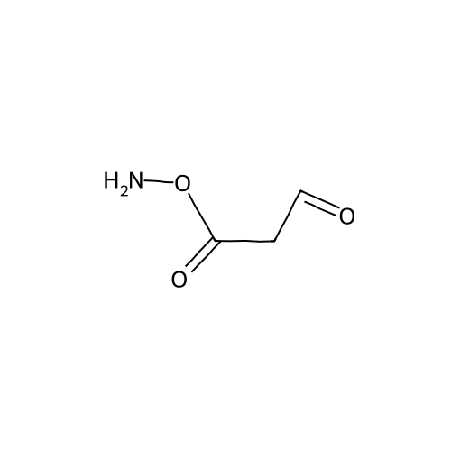 NOC(=O)CC=O